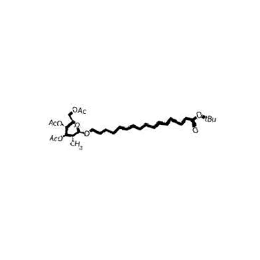 CC(=O)OC[C@H]1O[C@@H](OCCCCCCCCCCCCCCCC(=O)OC(C)(C)C)[C@H](C)[C@@H](OC(C)=O)[C@@H]1OC(C)=O